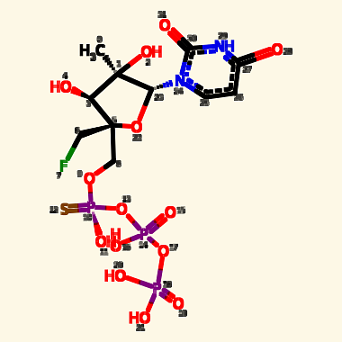 C[C@@]1(O)[C@H](O)[C@@](CF)(CO[P@@](O)(=S)OP(=O)(O)OP(=O)(O)O)O[C@H]1n1ccc(=O)[nH]c1=O